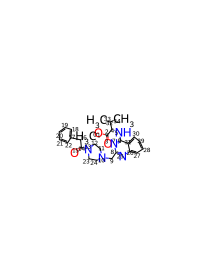 COC(=O)[C@@H](Nc1nc(CN2CCN(C(=O)Cc3ccccc3)CC2)nc2ccccc12)C(C)C